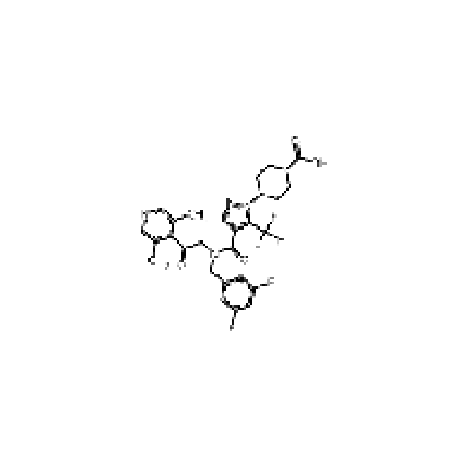 Cc1cncc(C)c1C(=O)CN(Cc1cc(F)cc(F)c1)C(=O)c1cnn(C2CCC(C(=O)O)CC2)c1C(F)(F)F